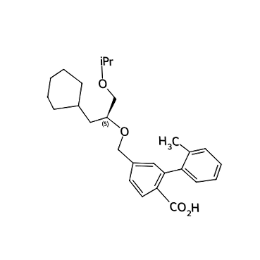 Cc1ccccc1-c1cc(CO[C@H](COC(C)C)CC2CCCCC2)ccc1C(=O)O